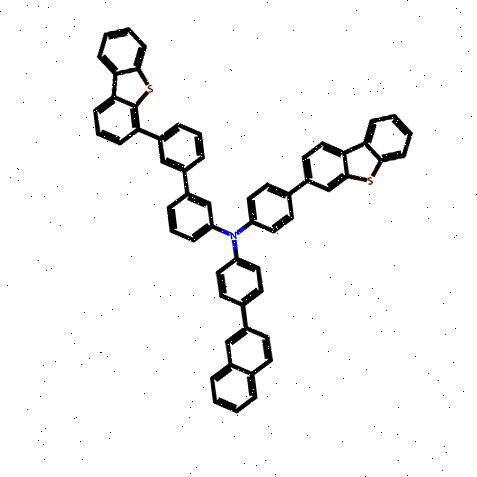 c1cc(-c2cccc(N(c3ccc(-c4ccc5ccccc5c4)cc3)c3ccc(-c4ccc5c(c4)sc4ccccc45)cc3)c2)cc(-c2cccc3c2sc2ccccc23)c1